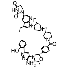 CCc1cn([C@@H]2CCN(CC3CCN(C(=O)c4ccc([C@@H]5CN(c6cc(-c7ccccc7O)nnc6N)[C@H](C)[C@H](C)O5)cc4)CC3)C[C@@H]2F)c2ncc(N3CCC(=O)NC3=O)cc12